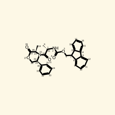 C[C@H](NC(=O)OCC1c2ccccc2-c2ccccc21)C(=O)N1[C@H](C)C(=O)OC[C@@H]1c1ccccc1